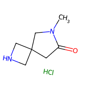 CN1CC2(CNC2)CC1=O.Cl